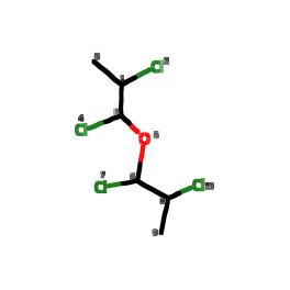 CC(Cl)C(Cl)OC(Cl)C(C)Cl